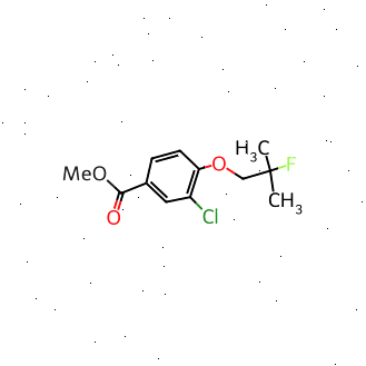 COC(=O)c1ccc(OCC(C)(C)F)c(Cl)c1